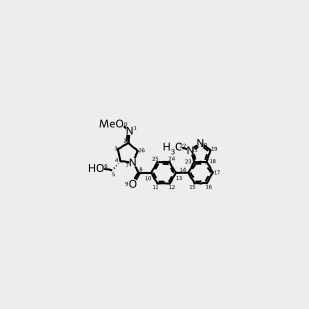 CO/N=C1\C[C@@H](CO)N(C(=O)c2ccc(-c3cccc4cnn(C)c34)cc2)C1